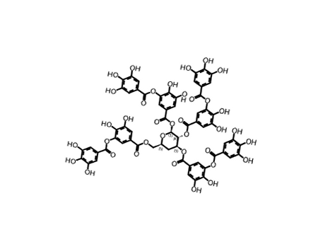 O=C(OC[C@@H]1C[C@H](OC(=O)c2cc(O)c(O)c(OC(=O)c3cc(O)c(O)c(O)c3)c2)[C@@H](OC(=O)c2cc(O)c(O)c(OC(=O)c3cc(O)c(O)c(O)c3)c2)[C@H](OC(=O)c2cc(O)c(O)c(OC(=O)c3cc(O)c(O)c(O)c3)c2)O1)c1cc(O)c(O)c(OC(=O)c2cc(O)c(O)c(O)c2)c1